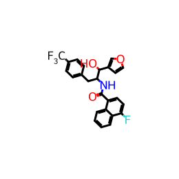 O=C(NC(Cc1ccc(C(F)(F)F)cc1)C(O)c1ccoc1)c1ccc(F)c2ccccc12